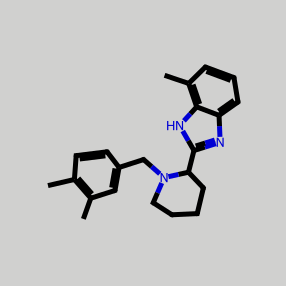 Cc1ccc(CN2CCCCC2c2nc3cccc(C)c3[nH]2)cc1C